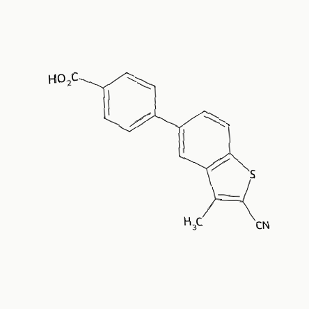 Cc1c(C#N)sc2ccc(-c3ccc(C(=O)O)cc3)cc12